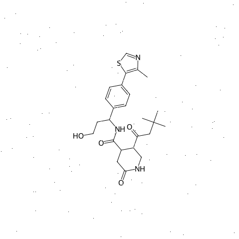 Cc1ncsc1-c1ccc(C(CCO)NC(=O)C2CC(=O)NCC2C(=O)CC(C)(C)C)cc1